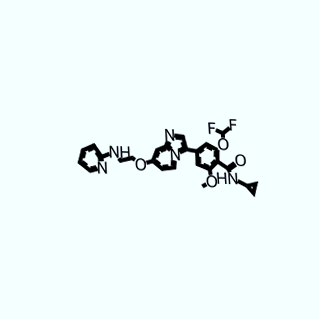 COc1cc(-c2cnc3cc(OCCNc4ccccn4)ccn23)cc(OC(F)F)c1C(=O)NC1CC1